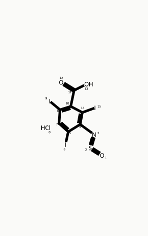 Cl.O=S=Nc1c(I)cc(I)c(C(=O)O)c1I